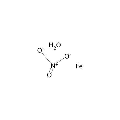 O.O=[N+]([O-])[O-].[Fe]